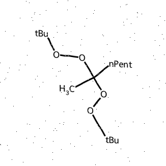 CCCCCC(C)(OOC(C)(C)C)OOC(C)(C)C